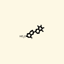 Cc1c(C)c(C)c2cc(-c3ccc4cc(C(=O)O)cc(F)c4c3)ccc2c1C